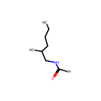 CC(C)C(=O)NCC(C#N)CCCC#N